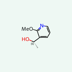 COc1ncccc1[C@H](C)O